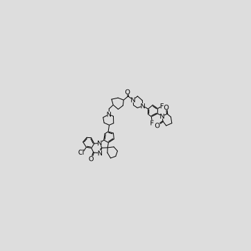 O=C(C1CCC(CN2CCC(c3ccc4c(c3)-n3c(nc(=O)c5c(Cl)cccc53)C43CCCCC3)CC2)CC1)N1CCN(c2cc(F)c(N3C(=O)CCCC3=O)c(F)c2)CC1